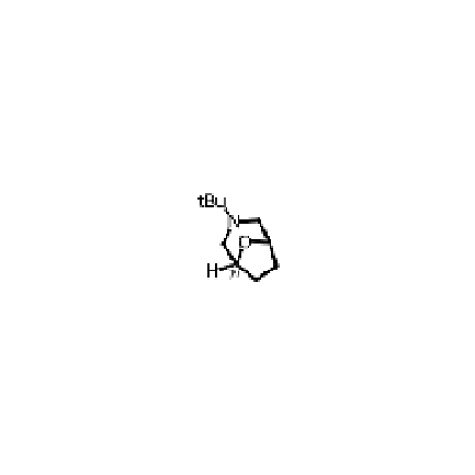 CC(C)(C)N1CC2CC[C@H](C1)O2